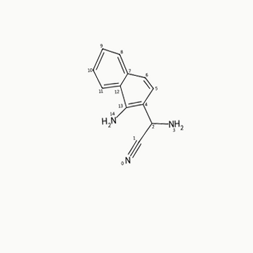 N#CC(N)c1ccc2ccccc2c1N